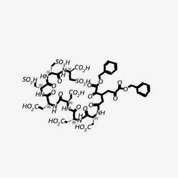 O=C(O)C[C@@H](NC(=O)CC(CC(=O)C(=O)OCc1ccccc1)C(=O)C(=O)OCc1ccccc1)C(=O)N[C@H](CC(=O)O)C(=O)N[C@H](CC(=O)O)C(=O)N[C@H](CC(=O)O)C(=O)N[C@H](CS(=O)(=O)O)C(=O)N[C@H](CS(=O)(=O)O)C(=O)N[C@H](CS(=O)(=O)O)C(=O)O